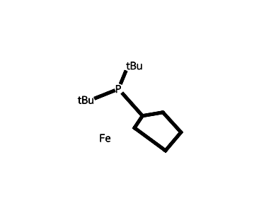 CC(C)(C)P(C1CCCC1)C(C)(C)C.[Fe]